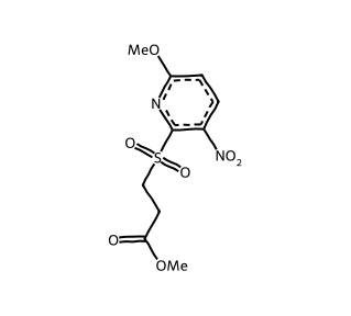 COC(=O)CCS(=O)(=O)c1nc(OC)ccc1[N+](=O)[O-]